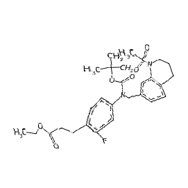 CCOC(=O)CCc1ccc(N(Cc2ccc3c(c2)N(S(C)(=O)=O)CCC3)C(=O)OC(C)(C)C)cc1F